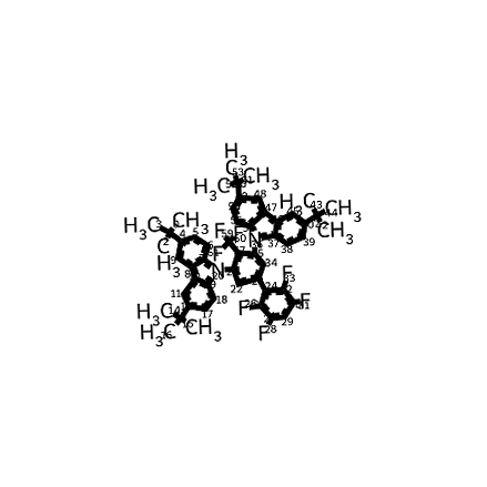 CC(C)(C)c1ccc2c(c1)c1cc(C(C)(C)C)ccc1n2-c1cc(-c2c(F)c(F)cc(F)c2F)cc(-n2c3ccc(C(C)(C)C)cc3c3cc(C(C)(C)C)ccc32)c1C(F)(F)F